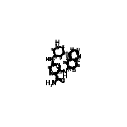 NC(=O)c1ncc(NC2CCCNC2)nc1Nc1ccc2ncccc2c1